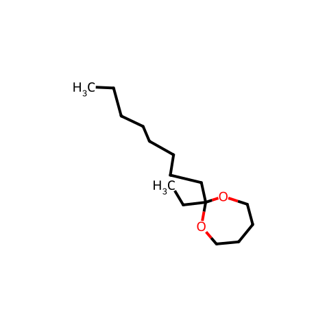 CCCCCCCCC1(CC)OCCCCO1